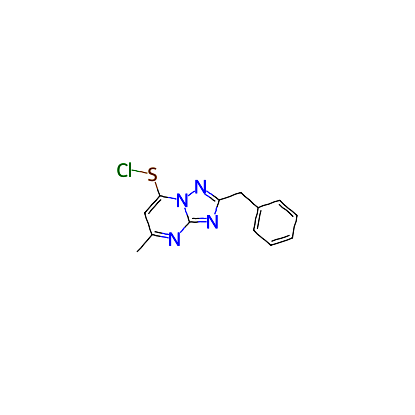 Cc1cc(SCl)n2nc(Cc3ccccc3)nc2n1